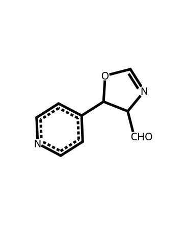 O=CC1N=COC1c1ccncc1